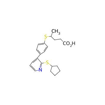 CC(CCC(=O)O)Sc1ccc(-c2cccnc2SC2CCCC2)cc1